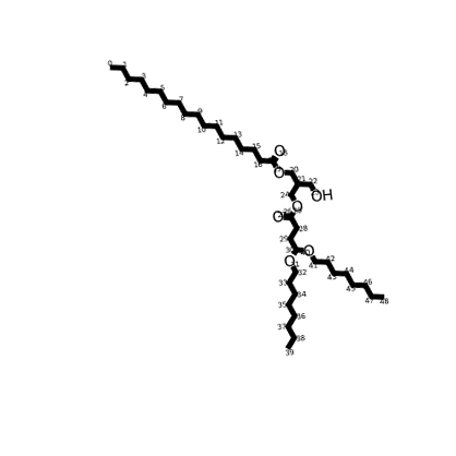 CCCCCCCCCCCCCCCCCC(=O)OCC(CO)COC(=O)CCC(OCCCCCCCC)OCCCCCCCC